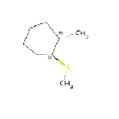 CS[C@H]1CCCC[C@@H]1C